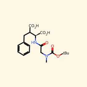 CN(CC(=O)N[C@H](C(=O)O)C(Cc1ccccc1)C(=O)O)C(=O)OC(C)(C)C